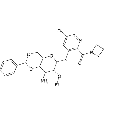 CCOC1C(Sc2cc(Cl)cnc2C(=O)N2CCC2)OC2COC(c3ccccc3)OC2C1N